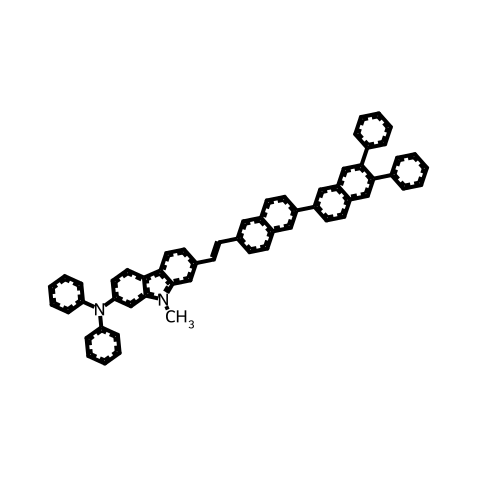 Cn1c2cc(/C=C/c3ccc4cc(-c5ccc6cc(-c7ccccc7)c(-c7ccccc7)cc6c5)ccc4c3)ccc2c2ccc(N(c3ccccc3)c3ccccc3)cc21